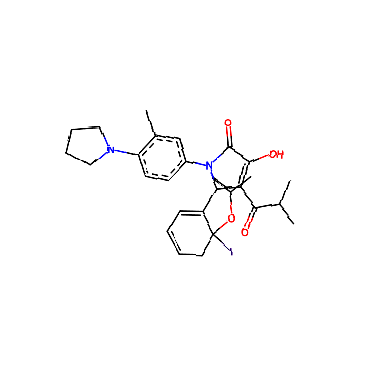 Cc1cc(N2C(=O)C(O)=C(C(=O)C(C)C)C2C2=CC=CCC2(I)OC(C)C)ccc1N1CCCC1